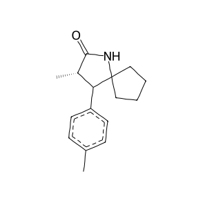 Cc1ccc(C2[C@H](C)C(=O)NC23CCCC3)cc1